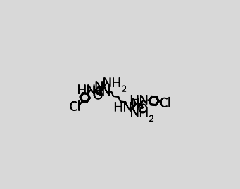 NC(=NC(=O)Nc1ccc(Cl)cc1)NCCCCCNC(N)=NC(=O)Nc1ccc(Cl)cc1